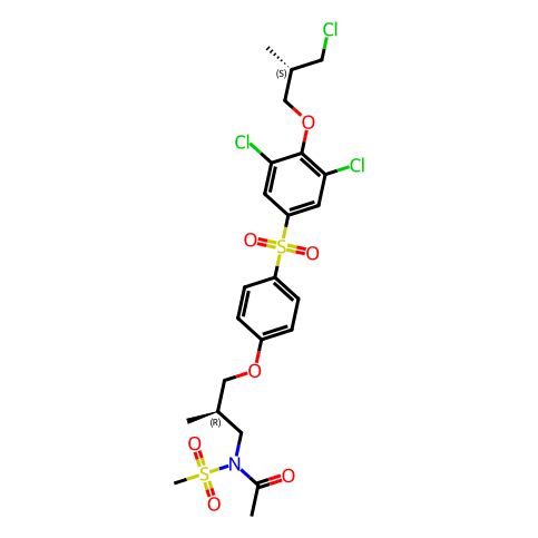 CC(=O)N(C[C@@H](C)COc1ccc(S(=O)(=O)c2cc(Cl)c(OC[C@H](C)CCl)c(Cl)c2)cc1)S(C)(=O)=O